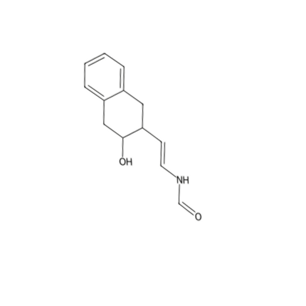 O=CNC=CC1Cc2ccccc2CC1O